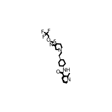 Cc1ncccc1C(=O)N[C@H]1CC[C@H](CCN2CCc3sc(OCC(F)(F)F)nc3C2)CC1